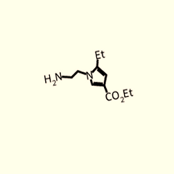 CCOC(=O)c1cc(CC)n(CCN)c1